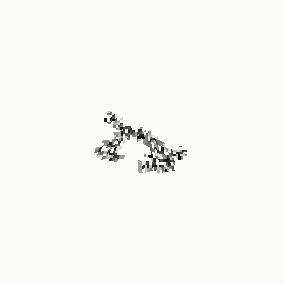 C=CC(=O)N1CCN(c2nc(NCCC(=O)N3CCC(Cc4ccc(-n5c(C(=O)NCC(F)(F)F)nnc5-c5cc(C(C)C)c(O)cc5O)cc4)CC3)nc3c2CCN(c2cc(O)cc4ccccc24)C3)CC1